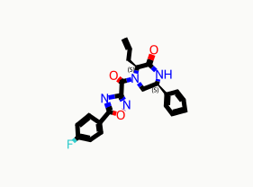 C=CC[C@H]1C(=O)N[C@@H](c2ccccc2)CN1C(=O)c1noc(-c2ccc(F)cc2)n1